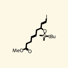 COC(=O)CC/C=C/CC(/C=C/I)O[Si](C)(C)C(C)(C)C